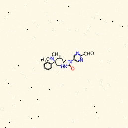 CN(C)[C@]1(c2ccccc2)CC[C@]2(CC1)CN(c1cnc(C=O)nc1)C(=O)N2